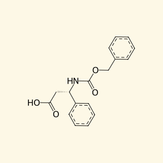 O=C(O)C[C@H](NC(=O)OCc1ccccc1)c1ccccc1